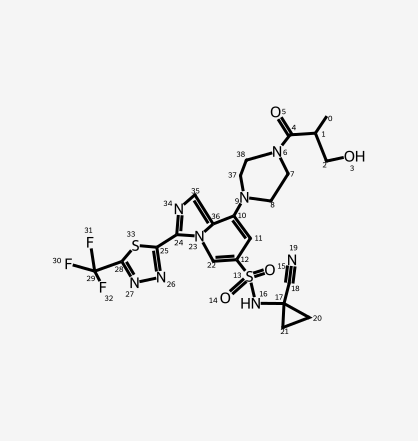 CC(CO)C(=O)N1CCN(c2cc(S(=O)(=O)NC3(C#N)CC3)cn3c(-c4nnc(C(F)(F)F)s4)ncc23)CC1